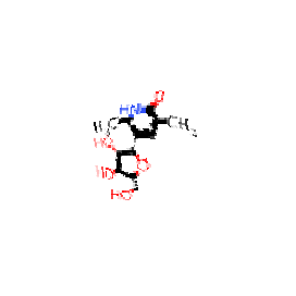 Cc1[nH]c(=O)c(C)cc1[C@@H]1O[C@H](CO)C(O)[C@@H]1O